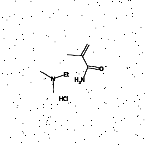 C=C(C)C(N)=O.CCN(C)C.Cl